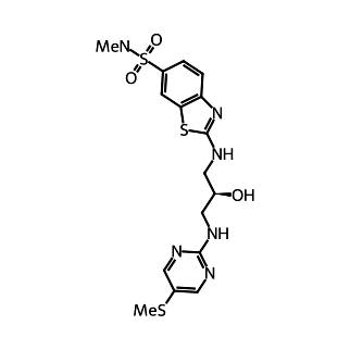 CNS(=O)(=O)c1ccc2nc(NC[C@@H](O)CNc3ncc(SC)cn3)sc2c1